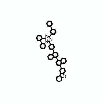 C1=Cc2c(oc3ccc(-c4ccc(-c5ccc(-c6ccc(-c7nc(-c8cccc(-c9ccccc9)c8)nc(-c8ccccc8-c8ccccc8)n7)cc6)c6ccccc56)c5ccccc45)cc23)CC1